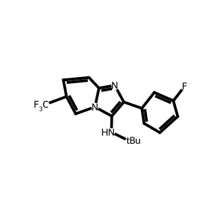 CC(C)(C)Nc1c(-c2cccc(F)c2)nc2ccc(C(F)(F)F)cn12